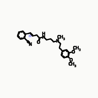 COc1ccc(CCN(C)CCCNC(=O)C/C=C/c2ccccc2C#N)cc1OC